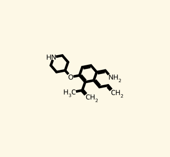 C=C/C=c1/c(C(=C)C)c(OC2CCNCC2)cc/c1=C/N